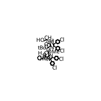 CC(CO)NC(=O)c1nc(-c2ccc(Cl)cc2)c(-c2ccc(Cl)cc2)nc1C(=O)OC(C)(C)C.COC(C)c1nc(-c2ccc(Cl)cc2)c(-c2ccc(Cl)cc2)nc1C(=O)NN1CCCCC1